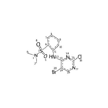 CN(C)S(=O)(=O)c1ccccc1Nc1nc(Cl)ncc1Br